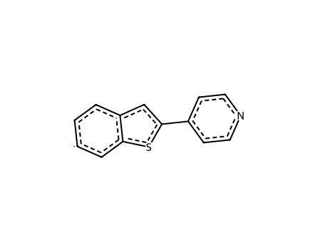 [c]1ccc2cc(-c3ccncc3)sc2c1